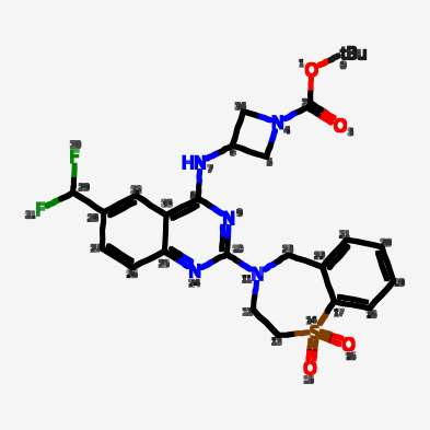 CC(C)(C)OC(=O)N1CC(Nc2nc(N3CCS(=O)(=O)c4ccccc4C3)nc3ccc(C(F)F)cc23)C1